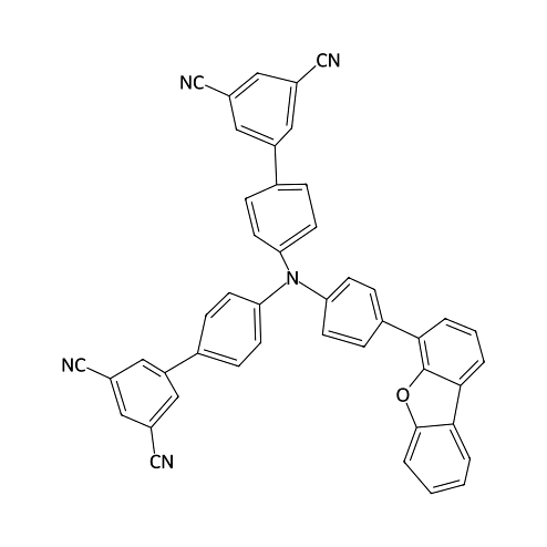 N#Cc1cc(C#N)cc(-c2ccc(N(c3ccc(-c4cc(C#N)cc(C#N)c4)cc3)c3ccc(-c4cccc5c4oc4ccccc45)cc3)cc2)c1